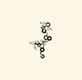 C[C@@H]1CCC[C@H](C)N1c1nnc2ccc(O[C@@H]3CC[C@H](NC(=O)Nc4cc(C(C)(C)C)nn4-c4cc(CN5CCCC5)ccc4F)c4ccccc43)cn12